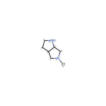 CCN1CC2CCNC2C1